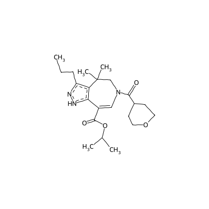 CCCc1n[nH]c2c1C(C)(C)CN(C(=O)C1CCOCC1)C=C2C(=O)OC(C)C